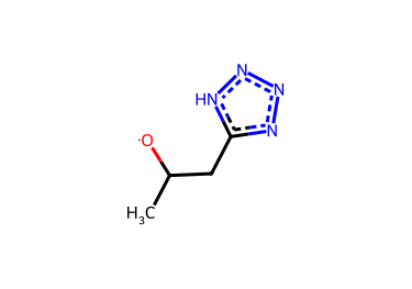 CC([O])Cc1nnn[nH]1